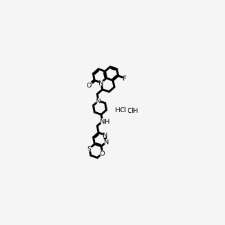 Cl.Cl.O=c1ccc2ccc(F)c3c2n1C(CN1CCC(NCc2cc4c(nn2)OCCS4)CC1)CC3